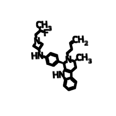 C=CCCN1[C@H](c2ccc(NC3CN(C[C@@H](C)F)C3)cc2)c2[nH]c3ccccc3c2C[C@H]1C